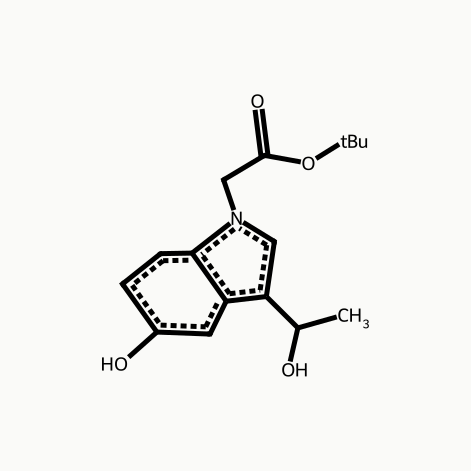 CC(O)c1cn(CC(=O)OC(C)(C)C)c2ccc(O)cc12